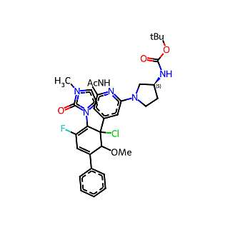 COC1C(c2ccccc2)=CC(F)=C(n2ccn(C)c2=O)C1(Cl)c1cc(NC(C)=O)nc(N2CC[C@H](NC(=O)OC(C)(C)C)C2)c1